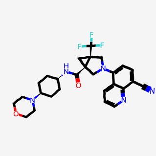 N#Cc1ccc(N2C[C@]3(C(=O)N[C@H]4CC[C@H](N5CCOCC5)CC4)C[C@]3(C(F)(F)F)C2)c2cccnc12